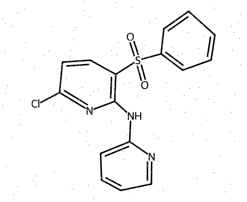 O=S(=O)(c1ccccc1)c1ccc(Cl)nc1Nc1ccccn1